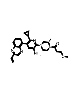 C=Cc1cnc2c(-c3cc(N)c(N4CCN(C(=O)CCOC)[C@H](C)C4)nc3C3CC3)cccc2n1